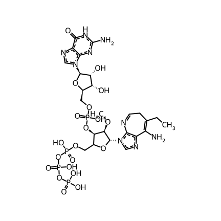 CCC1=C(N)c2ncn([C@@H]3OC(COP(=O)(O)OP(=O)(O)OP(=O)(O)O)[C@@H](OP(=O)(O)OC[C@H]4O[C@@H](n5cnc6c(=O)[nH]c(N)nc65)[C@H](O)[C@@H]4O)[C@H]3OC)c2N=CC1